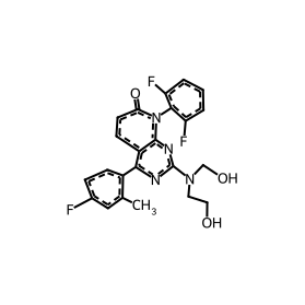 Cc1cc(F)ccc1-c1nc(N(CO)CCO)nc2c1ccc(=O)n2-c1c(F)cccc1F